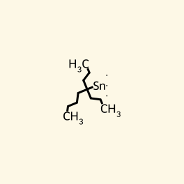 CCCC[C]([Sn])(CCC)CCC